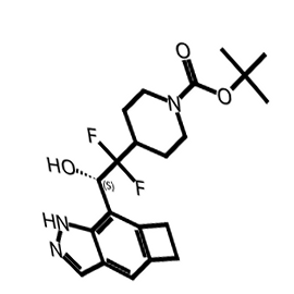 CC(C)(C)OC(=O)N1CCC(C(F)(F)[C@@H](O)c2c3c(cc4cn[nH]c24)CC3)CC1